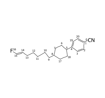 N#Cc1ccc(C2CCC(CCCCC/C=C/F)CC2)cc1